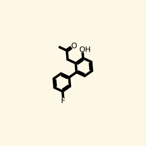 CC(=O)Cc1c(O)cccc1-c1cccc(F)c1